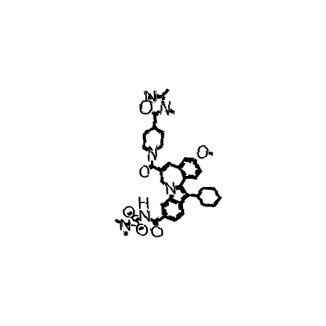 COc1ccc2c(c1)C=C(C(=O)N1CCC(C3ON=C(C)N3C)CC1)Cn1c-2c(C2CCCCC2)c2ccc(C(=O)NS(=O)(=O)N(C)C)cc21